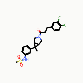 CC1(c2cccc(NS(C)(=O)=O)c2)C2CN(C(=O)CCc3ccc(Cl)c(Cl)c3)CC21